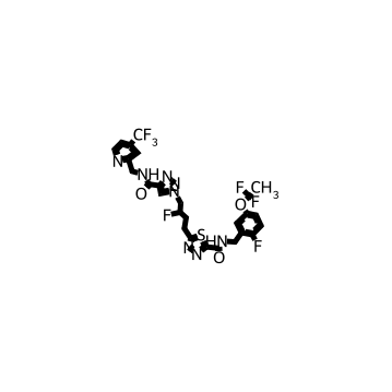 CC(F)(F)Oc1ccc(F)c(CNC(=O)c2nnc(CCC(F)Cn3cc(C(=O)NCc4cc(C(F)(F)F)ccn4)nn3)s2)c1